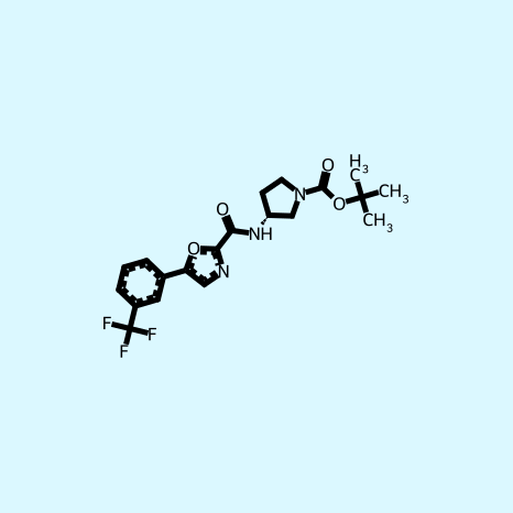 CC(C)(C)OC(=O)N1CC[C@@H](NC(=O)c2ncc(-c3cccc(C(F)(F)F)c3)o2)C1